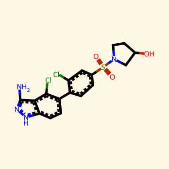 Nc1n[nH]c2ccc(-c3ccc(S(=O)(=O)N4CCC(O)C4)cc3Cl)c(Cl)c12